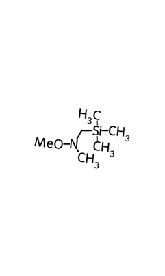 CON(C)C[Si](C)(C)C